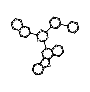 c1ccc(-c2cccc(-c3nc(-c4ccc5ccccc5c4)nc(-c4cc5c6ccccc6oc5c5ccccc45)n3)c2)cc1